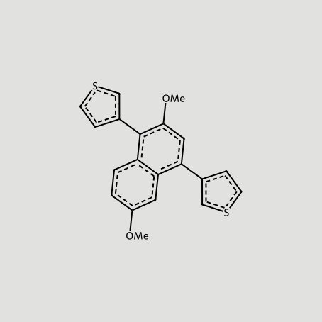 COc1ccc2c(-c3ccsc3)c(OC)cc(-c3ccsc3)c2c1